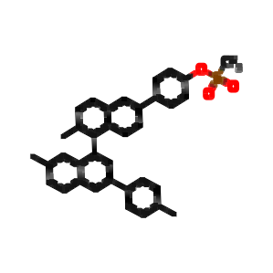 Cc1ccc(-c2cc(-c3c(C)ccc4cc(-c5ccc(OS(=O)(=O)C(F)(F)F)cc5)ccc34)c3cc(C)ccc3c2)cc1